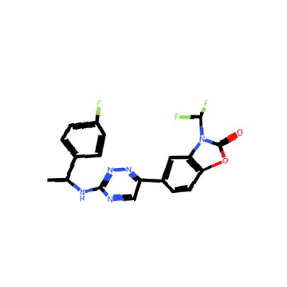 CC(Nc1ncc(-c2ccc3oc(=O)n(C(F)F)c3c2)nn1)c1ccc(F)cc1